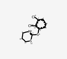 Clc1cccc(SC2=NCCCS2)c1Cl